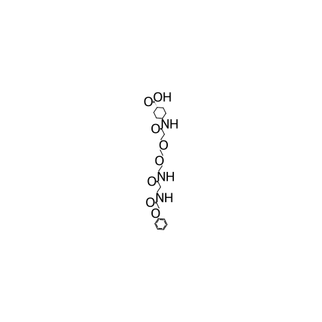 O=C(CCNC(=O)COc1ccccc1)NCCOCCOCCC(=O)N[C@H]1CC[C@@H](C(=O)O)CC1